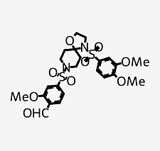 COc1cc(S(=O)(=O)N2CCC3(CC2)OCCN3S(=O)(=O)c2ccc(OC)c(OC)c2)ccc1C=O